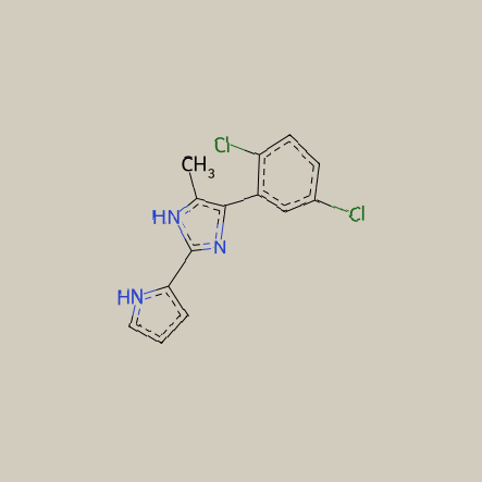 Cc1[nH]c(-c2ccc[nH]2)nc1-c1cc(Cl)ccc1Cl